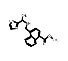 COC(=O)c1ccc(CNC(C)c2ncc[nH]2)c2ccccc12